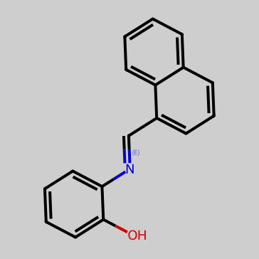 Oc1ccccc1/N=C/c1cccc2ccccc12